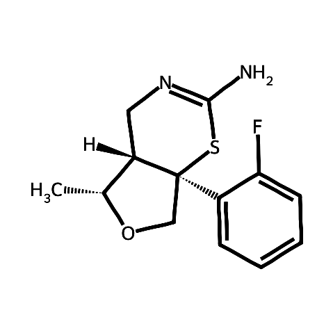 C[C@H]1OC[C@]2(c3ccccc3F)SC(N)=NC[C@@H]12